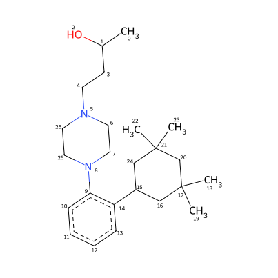 CC(O)CCN1CCN(c2ccccc2C2CC(C)(C)CC(C)(C)C2)CC1